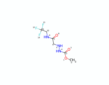 COC(=O)NNCC(=O)NCC(F)(F)F